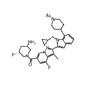 CC(=O)N1CCC(c2cccc3cc(-c4nn5cc(C(=O)N6C[C@H](N)C[C@@H](F)C6)cc(F)c5c4C)n(CC4CC4)c23)CC1